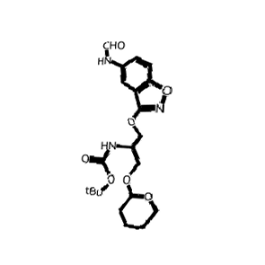 CC(C)(C)OC(=O)NC(COc1noc2ccc(NC=O)cc12)COC1CCCCO1